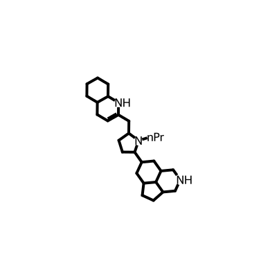 CCCN1C(CC2=CCC3CCCCC3N2)CCC1C1CC2CCC3CNCC(C1)C32